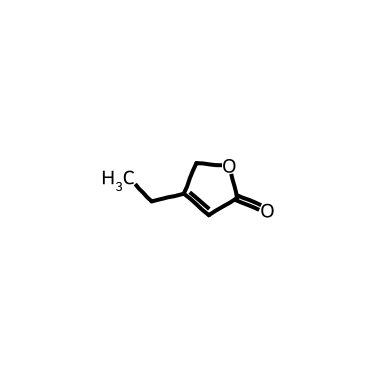 CCC1=CC(=O)OC1